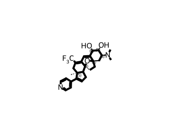 CN(C)[C@H]1C[C@@]23CC[C@@]4(O2)C(=C(C(F)(F)F)C[C@]2(C)C(c5ccncc5)=CCC24)C=C3[C@@H](O)[C@@H]1O